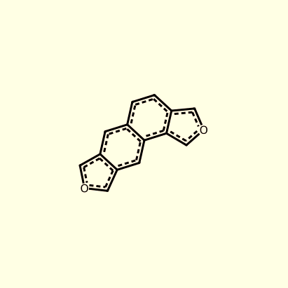 c1occ2cc3c(ccc4cocc43)cc12